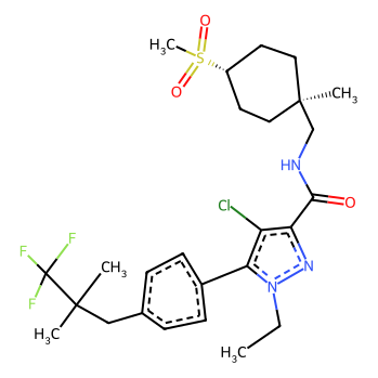 CCn1nc(C(=O)NC[C@]2(C)CC[C@@H](S(C)(=O)=O)CC2)c(Cl)c1-c1ccc(CC(C)(C)C(F)(F)F)cc1